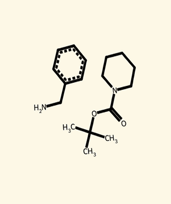 CC(C)(C)OC(=O)N1CCCCC1.NCc1ccccc1